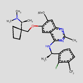 COc1cc2nc(C)nc(N[C@H](C)c3cccc(C(F)(F)F)c3F)c2cc1OCC1([C@H](C)N(C)C)CCC1